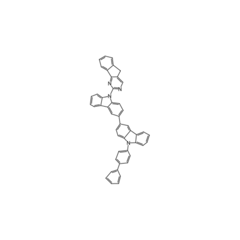 c1ccc(-c2ccc(-n3c4ccccc4c4cc(-c5ccc6c(c5)c5ccccc5n6-c5ncc6c(n5)-c5ccccc5C6)ccc43)cc2)cc1